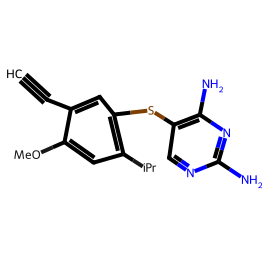 C#Cc1cc(Sc2cnc(N)nc2N)c(C(C)C)cc1OC